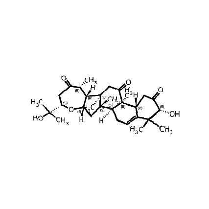 C[C@H]1C(=O)C[C@@H](C(C)(C)O)O[C@H]2C[C@@]3(C)[C@@H]4CC=C5[C@@H](CC(=O)[C@H](O)C5(C)C)[C@]4(C)C(=O)C[C@]3(C)[C@H]21